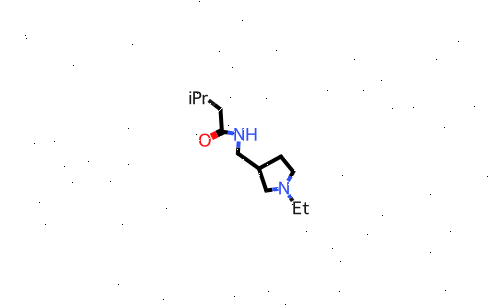 CCN1CCC(CNC(=O)CC(C)C)C1